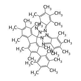 Cc1c(C)c(C)c(-c2c(C)c(C)c3c(c2C)C(n2nc4c(C)c(C)c(C)c(C)c4n2)(n2nc4c(C)c(C)c(C)c(C)c4n2)c2c(C)c(C)c(C)c(C)c2-3)c(C)c1C